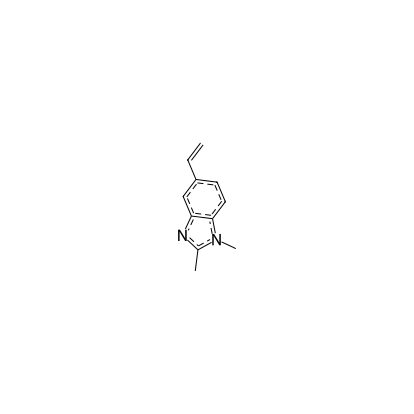 C=Cc1ccc2c(c1)nc(C)n2C